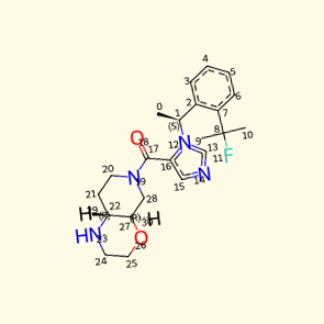 C[C@@H](c1ccccc1C(C)(C)F)n1cncc1C(=O)N1CC[C@H]2NCCO[C@@H]2C1